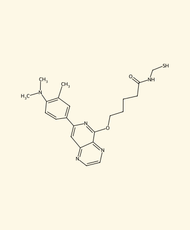 Cc1cc(-c2cc3nccnc3c(OCCCCC(=O)NCS)n2)ccc1N(C)C